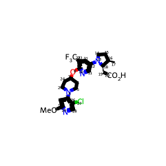 COc1cc(N2CCC(Oc3ncc(N4CC[C@@H](C)[C@@H]4CC(=O)O)cc3C(F)(F)F)CC2)c(Cl)cn1